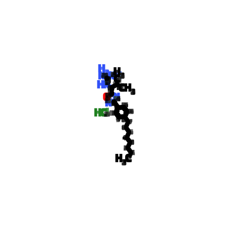 CCCCCCCCc1ccc(-c2noc([C@@H](NC(=N)N)C(C)C)n2)cc1.Cl